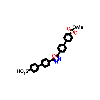 COS(=O)(=O)c1ccc(-c2ccc(-c3nnc(-c4ccc(-c5ccc(S(=O)(=O)O)cc5)cc4)o3)cc2)cc1